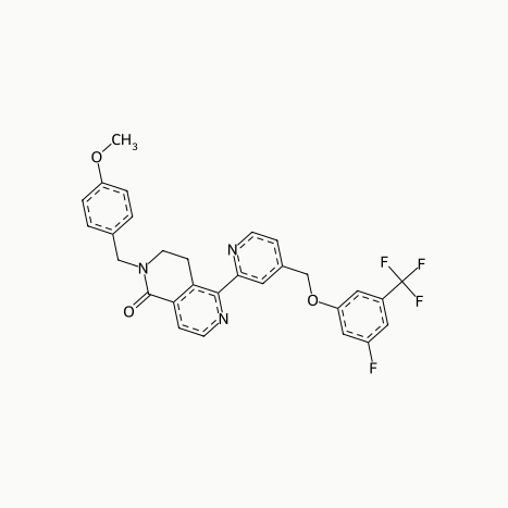 COc1ccc(CN2CCc3c(ccnc3-c3cc(COc4cc(F)cc(C(F)(F)F)c4)ccn3)C2=O)cc1